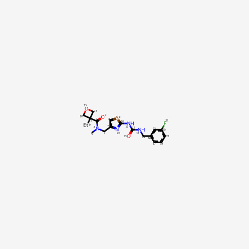 CCC1(C(=O)N(C)Cc2csc(NC(=O)NCc3cccc(F)c3)n2)COC1